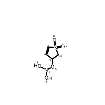 O=S1(=O)C=CC(ON(O)O)C1